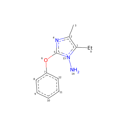 CCc1c(C)nc(Oc2ccccc2)n1N